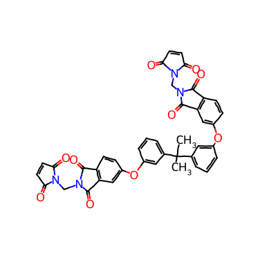 CC(C)(c1cccc(Oc2ccc3c(c2)C(=O)N(CN2C(=O)C=CC2=O)C3=O)c1)c1cccc(Oc2ccc3c(c2)C(=O)N(CN2C(=O)C=CC2=O)C3=O)c1